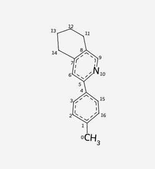 Cc1ccc(-c2cc3c(cn2)CCCC3)cc1